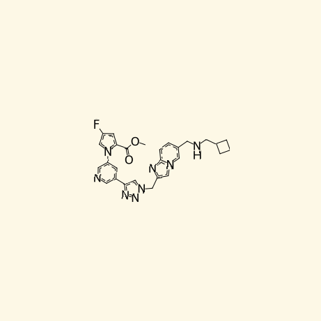 COC(=O)c1cc(F)cn1-c1cncc(-c2cn(Cc3cn4cc(CNCC5CCC5)ccc4n3)nn2)c1